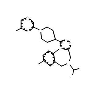 Cc1cncc(N2CCC(c3nnc4n3-c3ccc(Cl)cc3CN(C(C)C#N)C4)CC2)n1